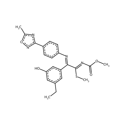 CCc1cc(O)cc(C(=N\c2ccc(-c3noc(C)n3)cc2)/C(=N/C(=O)OC)SC)c1